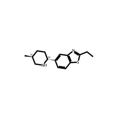 CCc1nc2cc([C@H]3CC[C@H](C)CN3)ccc2s1